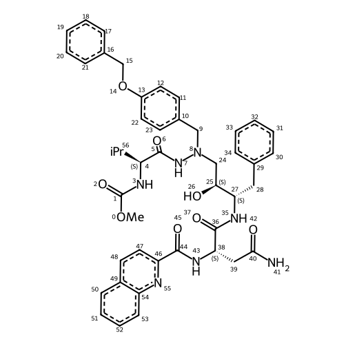 COC(=O)N[C@H](C(=O)NN(Cc1ccc(OCc2ccccc2)cc1)C[C@H](O)[C@H](Cc1ccccc1)NC(=O)[C@H](CC(N)=O)NC(=O)c1ccc2ccccc2n1)C(C)C